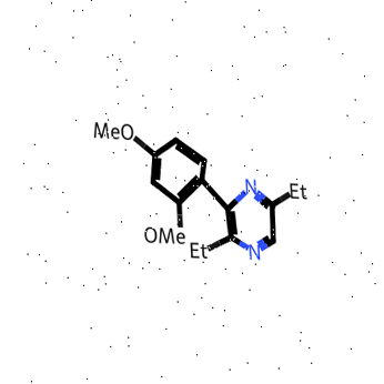 CCc1cnc(CC)c(-c2ccc(OC)cc2OC)n1